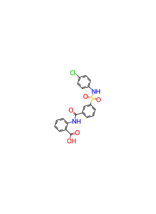 O=C(Nc1ccccc1C(=O)O)c1cccc(S(=O)(=O)Nc2ccc(Cl)cc2)c1